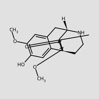 COC1=C[C@@]23CCN[C@@H](Cc4cc(OC)c(O)cc42)C3=CC1=O